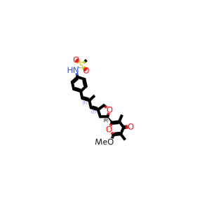 COc1oc([C@H]2C/C(=C/C(C)=C/c3ccc(NS(C)(=O)=O)cc3)CO2)c(C)c(=O)c1C